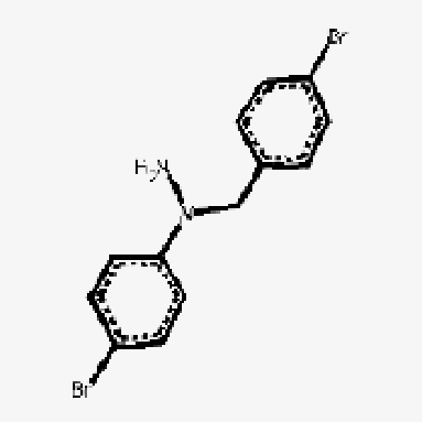 NN(Cc1ccc(Br)cc1)c1ccc(Br)cc1